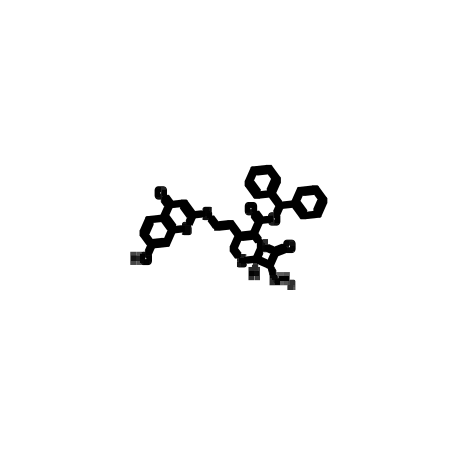 N[C@@H]1C(=O)N2C(C(=O)OC(c3ccccc3)c3ccccc3)=C(/C=C/Sc3cc(=O)c4ccc(O)cc4s3)CS[C@H]12